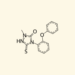 Cn1[nH]c(=S)n(-c2ccccc2Oc2ccccc2)c1=O